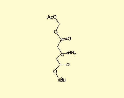 CCCCOC(=O)C[C@H](N)CC(=O)OCOC(C)=O